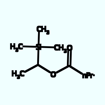 CC[CH]C(=O)OC(C)[Si](C)(C)C